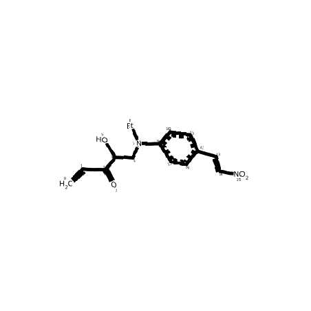 C=CC(=O)C(O)CN(CC)c1ccc(C=C[N+](=O)[O-])cc1